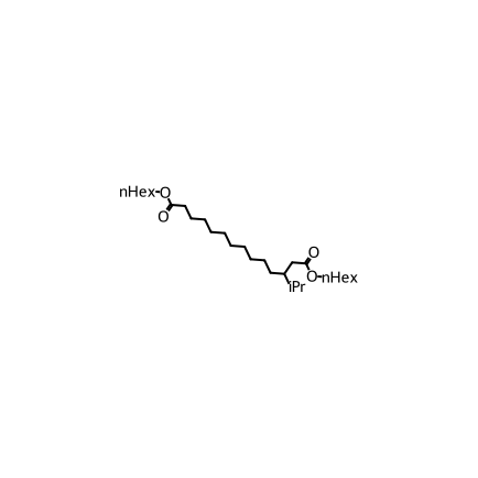 CCCCCCOC(=O)CCCCCCCCCCC(CC(=O)OCCCCCC)C(C)C